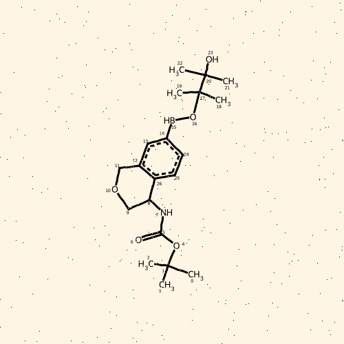 CC(C)(C)OC(=O)NC1COCc2cc(BOC(C)(C)C(C)(C)O)ccc21